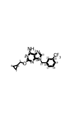 Nc1nc(OCC2CC2)nc2c1ncn2Cc1cccc(C(F)(F)F)c1